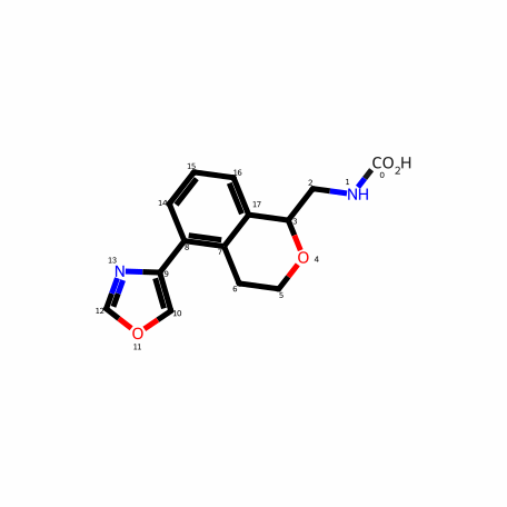 O=C(O)NCC1OCCc2c(-c3cocn3)cccc21